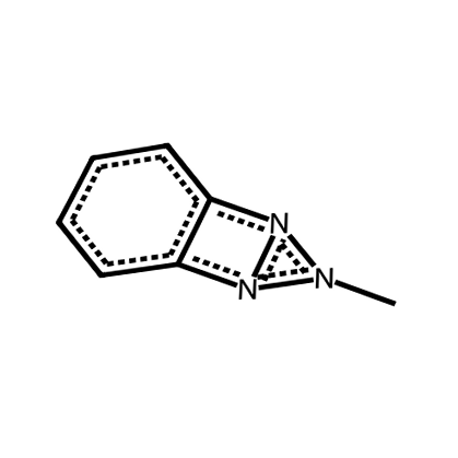 Cn1n2c3ccccc3n12